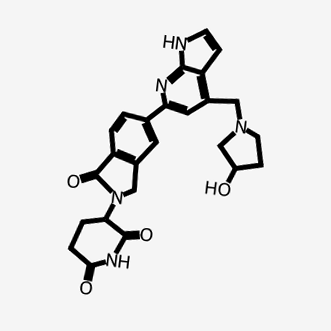 O=C1CCC(N2Cc3cc(-c4cc(CN5CCC(O)C5)c5cc[nH]c5n4)ccc3C2=O)C(=O)N1